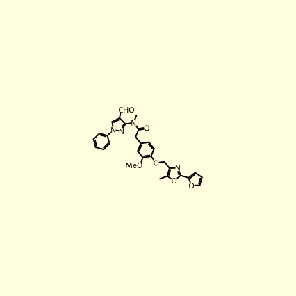 COc1cc(CC(=O)N(C)c2nn(-c3ccccc3)cc2C=O)ccc1OCc1nc(-c2ccco2)oc1C